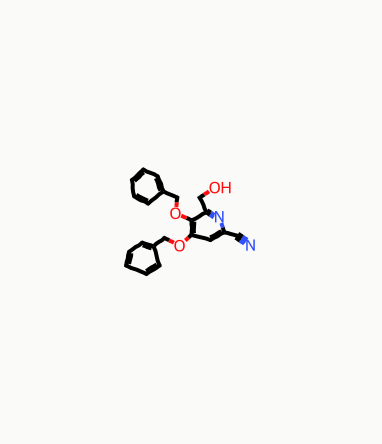 N#Cc1cc(OCc2ccccc2)c(OCc2ccccc2)c(CO)n1